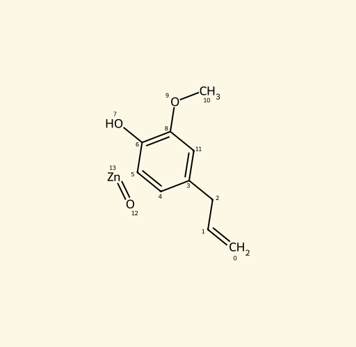 C=CCc1ccc(O)c(OC)c1.[O]=[Zn]